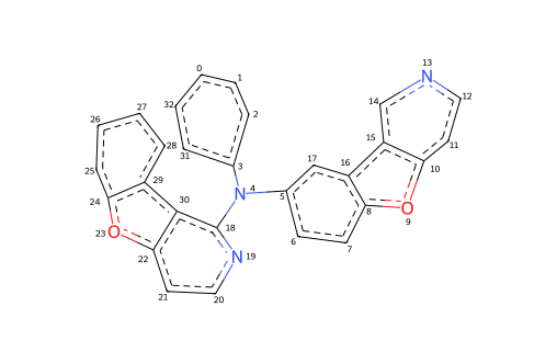 c1ccc(N(c2ccc3oc4ccncc4c3c2)c2nccc3oc4ccccc4c23)cc1